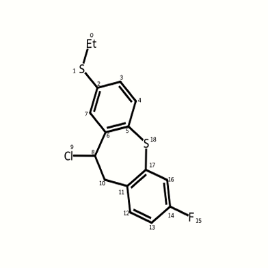 CCSc1ccc2c(c1)C(Cl)Cc1ccc(F)cc1S2